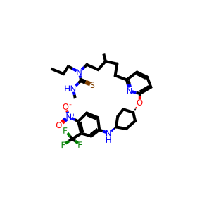 CCCN(CCC(C)CCc1cccc(O[C@H]2CC[C@H](Nc3ccc([N+](=O)[O-])c(C(F)(F)F)c3)CC2)n1)C(=S)NC